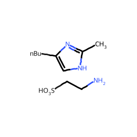 CCCCc1c[nH]c(C)n1.NCCS(=O)(=O)O